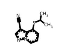 CC(C)Sc1cccn2ncc(C#N)c12